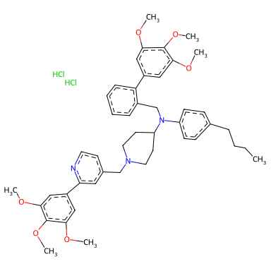 CCCCc1ccc(N(Cc2ccccc2-c2cc(OC)c(OC)c(OC)c2)C2CCN(Cc3ccnc(-c4cc(OC)c(OC)c(OC)c4)c3)CC2)cc1.Cl.Cl